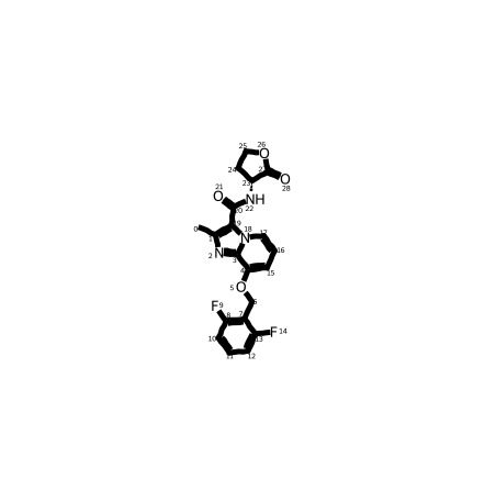 Cc1nc2c(OCc3c(F)cccc3F)cccn2c1C(=O)N[C@@H]1CCOC1=O